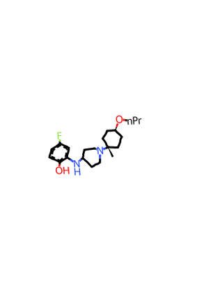 CCCO[C@H]1CC[C@](C)(N2CCC(Nc3cc(F)ccc3O)CC2)CC1